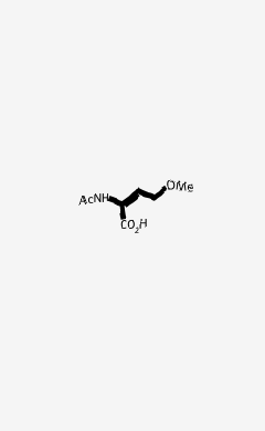 COCC=C(NC(C)=O)C(=O)O